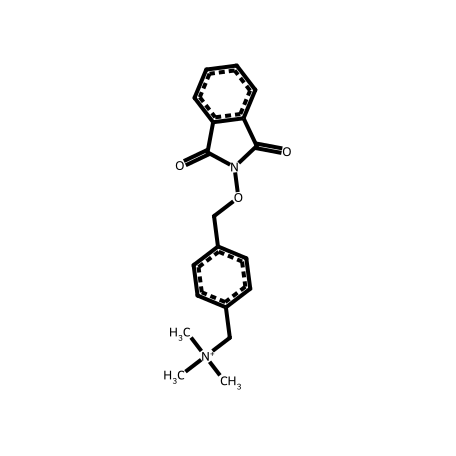 C[N+](C)(C)Cc1ccc(CON2C(=O)c3ccccc3C2=O)cc1